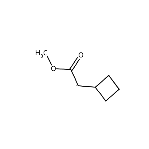 COC(=O)[CH]C1CCC1